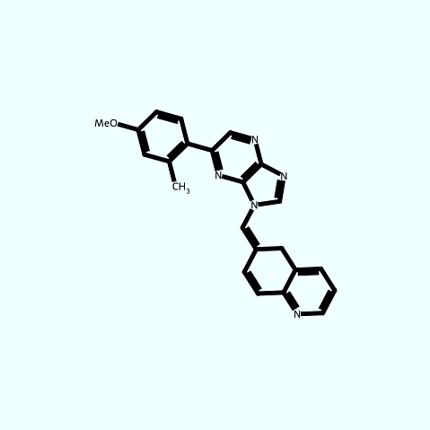 COc1ccc(-c2cnc3ncn(C=C4C=Cc5ncccc5C4)c3n2)c(C)c1